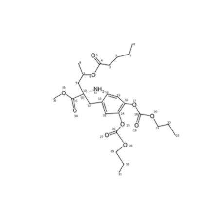 CCCCC(=O)OC(C)C[C@@](N)(Cc1ccc(OC(=O)OCCC)c(OC(=O)OCCC)c1)C(=O)OC